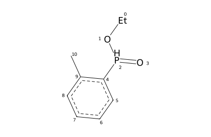 CCO[PH](=O)c1ccccc1C